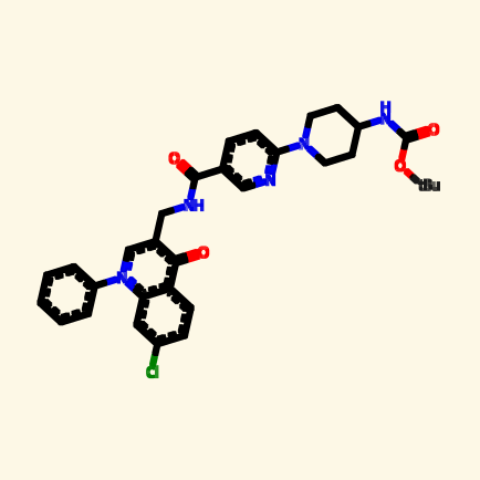 CC(C)(C)OC(=O)NC1CCN(c2ccc(C(=O)NCc3cn(-c4ccccc4)c4cc(Cl)ccc4c3=O)cn2)CC1